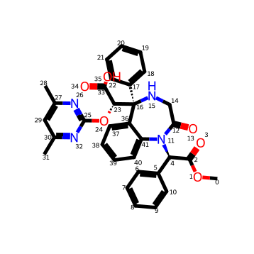 COC(=O)[C@@H](c1ccccc1)N1C(=O)CN[C@](c2ccccc2)([C@H](Oc2nc(C)cc(C)n2)C(=O)O)c2ccccc21